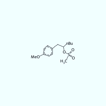 CCCCC(Cc1ccc(OC)cc1)OS(C)(=O)=O